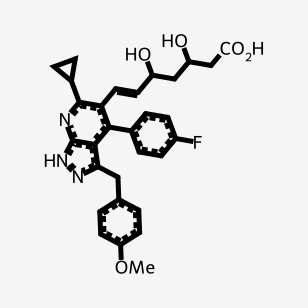 COc1ccc(Cc2n[nH]c3nc(C4CC4)c(/C=C/C(O)CC(O)CC(=O)O)c(-c4ccc(F)cc4)c23)cc1